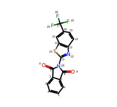 O=C1c2ccccc2C(=O)N1c1nc2ccc(C(F)(F)F)cc2s1